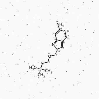 C[Si](C)(C)CCOCn1cc2cnc(N)cc2n1